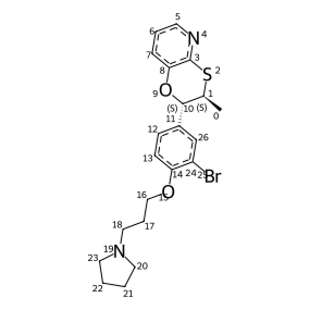 C[C@@H]1Sc2ncccc2O[C@H]1c1ccc(OCCCN2CCCC2)c(Br)c1